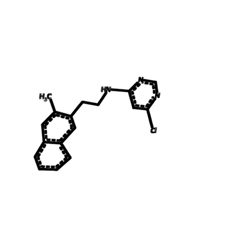 Cc1cc2ccccc2cc1CCNc1cc(Cl)ncn1